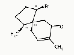 CC1=CC[C@@]2(CC1=O)[C@@H](C)CC[C@H]2C(C)C